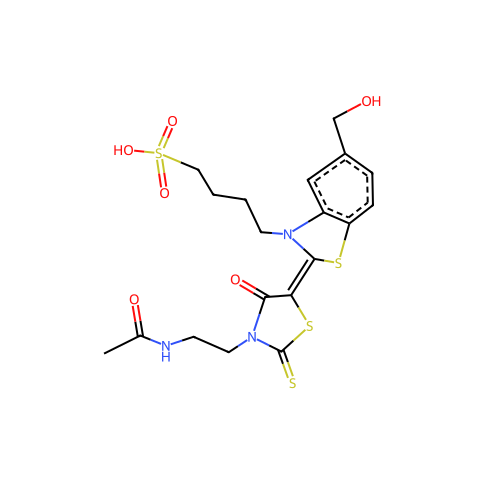 CC(=O)NCCN1C(=O)/C(=C2/Sc3ccc(CO)cc3N2CCCCS(=O)(=O)O)SC1=S